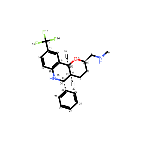 CNC[C@H]1CC[C@@H]2[C@H](O1)c1cc(C(F)(F)F)ccc1N[C@H]2c1ccccc1